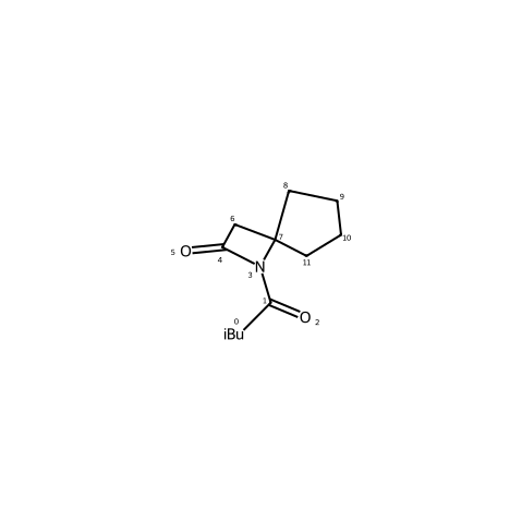 CCC(C)C(=O)N1C(=O)CC12CCCC2